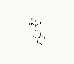 C[C@H]1Cc2cnccc2C[C@H]1P(P)PP